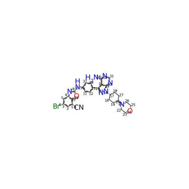 N#Cc1cc(Br)cc2nc(Nc3ccc(-c4nn([C@H]5CC[C@H](N6CCOCC6)CC5)c5ncnc(N)c45)cc3)oc12